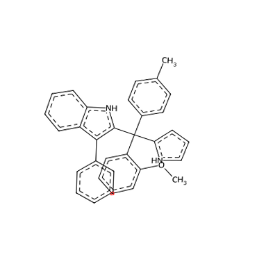 COc1ccccc1C(c1ccc(C)cc1)(c1ccc[nH]1)c1[nH]c2ccccc2c1-c1ccccc1